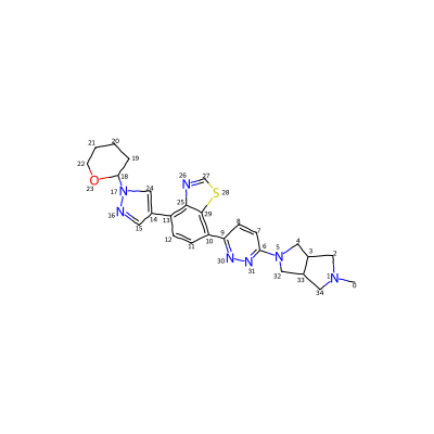 CN1CC2CN(c3ccc(-c4ccc(-c5cnn(C6CCCCO6)c5)c5ncsc45)nn3)CC2C1